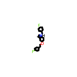 Fc1ccc(CCOC2=CC[C@@H]3C(=C2)[C]=CN3Cc2ccc(F)cc2)cc1